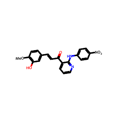 COc1ccc(C=CC(=O)c2cccnc2Nc2ccc([N+](=O)[O-])cc2)cc1O